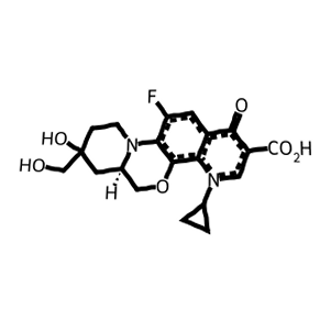 O=C(O)c1cn(C2CC2)c2c3c(c(F)cc2c1=O)N1CCC(O)(CO)C[C@@H]1CO3